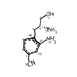 N#Cc1ccc(C[C@@H](N)CO)c(N)c1